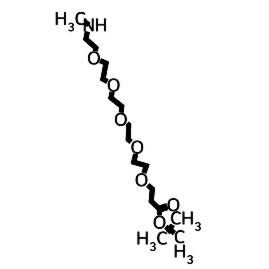 CNCCOCCOCCOCCOCCOCCC(=O)OC(C)(C)C